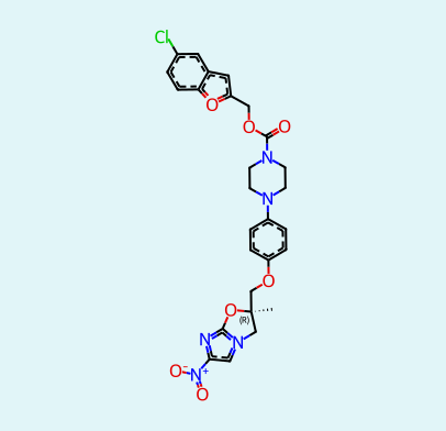 C[C@]1(COc2ccc(N3CCN(C(=O)OCc4cc5cc(Cl)ccc5o4)CC3)cc2)Cn2cc([N+](=O)[O-])nc2O1